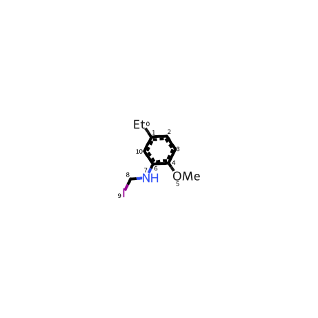 CCc1ccc(OC)c(NCI)c1